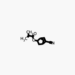 C=C(C)C(=O)OC1CC2CC1CC2C#N